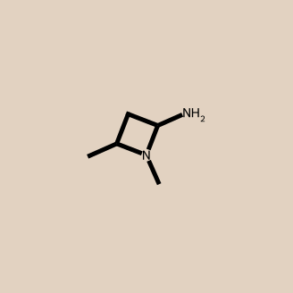 CC1CC(N)N1C